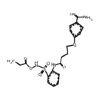 CCC(=O)ONS(=O)(=O)c1ccccc1NC(=O)CCCOc1ccc(C(=N)N)cc1